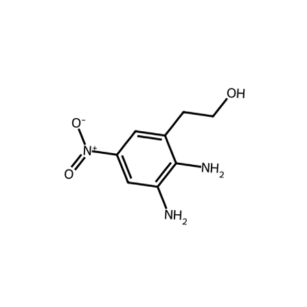 Nc1cc([N+](=O)[O-])cc(CCO)c1N